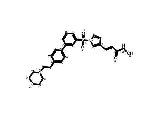 O=C(/C=C/c1ccn(S(=O)(=O)c2cccc(-c3ccc(CCN4CCOCC4)cc3)c2)c1)NO